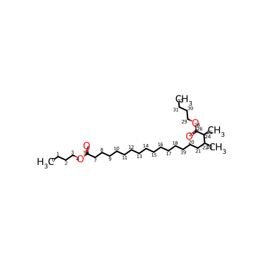 CCCCOC(=O)CCCCCCCCCCCCCCCC(C)C(C)C(=O)OCCCC